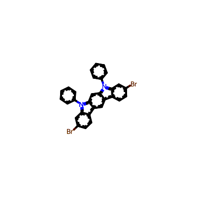 Brc1ccc2c3cc4c5ccc(Br)cc5n(-c5ccccc5)c4cc3n(-c3ccccc3)c2c1